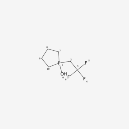 O[P]1(CC(F)(F)F)CCCC1